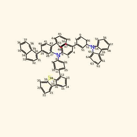 C1=CC(c2ccc(N(c3ccc(-c4cccc5c4sc4ccccc45)cc3)c3cc(-c4cccc5ccccc45)ccc3-c3ccccc3)cc2)=CC(n2c3ccccc3c3ccccc32)C1